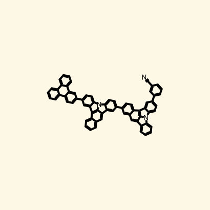 N#Cc1cccc(-c2ccc3c(c2)c2c4ccc(-c5ccc6c(c5)c5cc7ccccc7c7c8cc(-c9ccc%10c%11ccccc%11c%11ccccc%11c%10c9)ccc8n6c57)cc4cc4c5ccccc5n3c42)c1